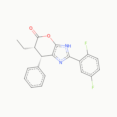 CC[C@@H]1C(=O)Oc2[nH]c(-c3cc(F)ccc3F)nc2[C@@H]1c1ccccc1